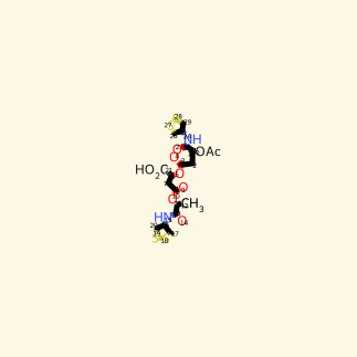 CC(=O)OC(CC(=O)OC(CC(=O)OC(C)C(=O)NC1CSSC1)C(=O)O)C(=O)NC1CSSC1